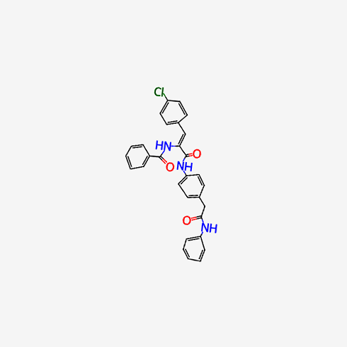 O=C(Cc1ccc(NC(=O)C(=Cc2ccc(Cl)cc2)NC(=O)c2ccccc2)cc1)Nc1ccccc1